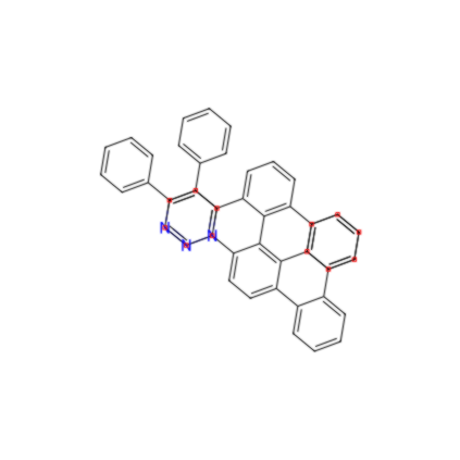 c1ccc(-c2cccc(-c3nnnc(-c4ccccc4)c3-c3ccccc3)c2-c2c(-c3ccccc3)ccc3c4ccccc4c4ccccc4c23)cc1